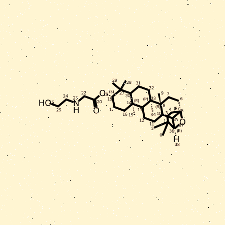 CC1(C)CC[C@]23CC[C@]4(C)C(CCC5[C@@]6(C)CC[C@H](OC(=O)CNCCO)C(C)(C)C6CC[C@]54C)C2[C@H]1O3